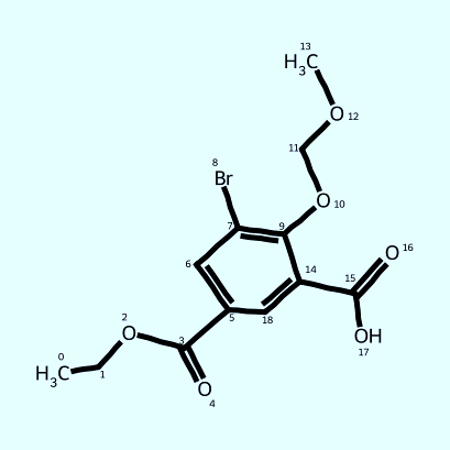 CCOC(=O)c1cc(Br)c(OCOC)c(C(=O)O)c1